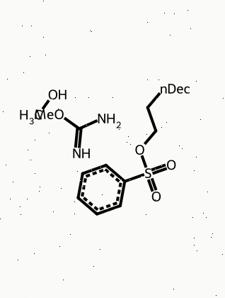 CCCCCCCCCCCCOS(=O)(=O)c1ccccc1.CO.COC(=N)N